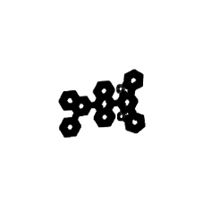 c1ccc(-c2cc(-c3c4ccccc4c(-c4c5oc6ccccc6c5cc5c4oc4ccccc45)c4ccccc34)cc3ccccc23)cc1